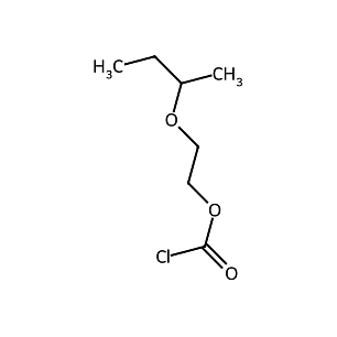 CCC(C)OCCOC(=O)Cl